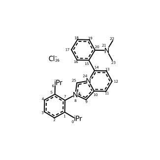 CC(C)c1cccc(C(C)C)c1-[n+]1cc2cccc(-c3ccccc3N(C)C)n2c1.[Cl-]